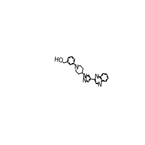 OCc1cccc(N2CCC(n3cc(-c4cnc5ccccc5n4)cn3)CC2)c1